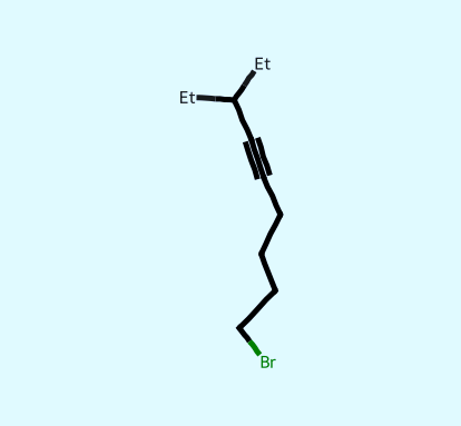 CCC(C#CCCCCBr)CC